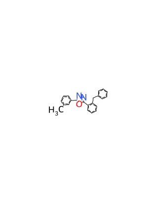 Cc1cccc(-c2nnc(-c3ccccc3Cc3ccccc3)o2)c1